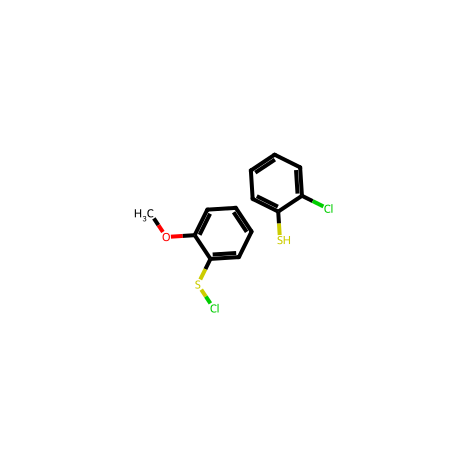 COc1ccccc1SCl.Sc1ccccc1Cl